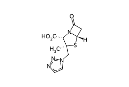 C[C@@]1(Cn2ccnn2)S[C@H]2CC(=O)N2[C@H]1C(=O)O